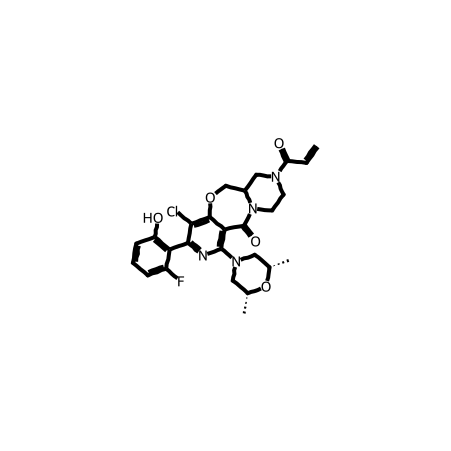 C=CC(=O)N1CCN2C(=O)c3c(N4C[C@@H](C)O[C@@H](C)C4)nc(-c4c(O)cccc4F)c(Cl)c3OCC2C1